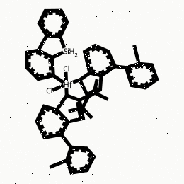 Cc1ccccc1-c1cccc2c1C=C(C(C)C)[CH]2[Hf]([Cl])([Cl])([c]1cccc2c1[SiH2]c1ccccc1-2)[CH]1C(C(C)C)=Cc2c(-c3ccccc3C)cccc21